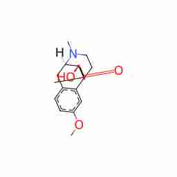 COc1ccc2c(c1)C13CCN(C)[C@H](C2)[C@]1(O)CCC(=O)C3